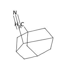 CC12CC3CC(C1)C(C#N)C(C3)C2